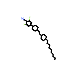 CCCCCCCCCCC1CCC(CCC2CCC(c3cc(F)c(C#N)c(F)c3)CC2)CC1